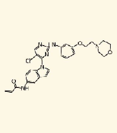 C=CC(=O)Nc1ccc2c(ccn2-c2nc(Nc3cccc(OCCN4CCOCC4)c3)ncc2Cl)c1